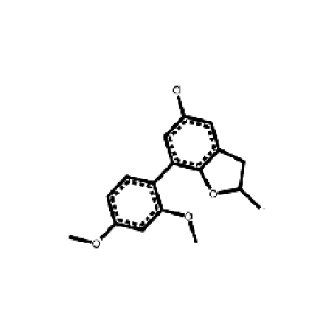 [CH2]C1Cc2cc(Cl)cc(-c3ccc(OC)cc3OC)c2O1